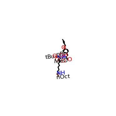 CC#CCOc1ccc(C[C@H](NC(=O)[C@@H](/C=C/CCCCCNSCCCCCCCC)[C@@](O)(CCC)C(=O)OC(C)(C)C)C(=O)OC)cc1